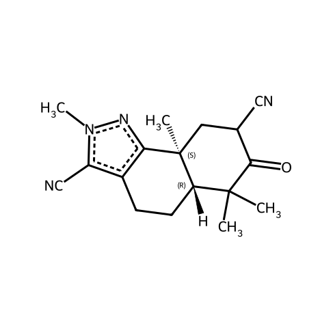 Cn1nc2c(c1C#N)CC[C@H]1C(C)(C)C(=O)C(C#N)C[C@]21C